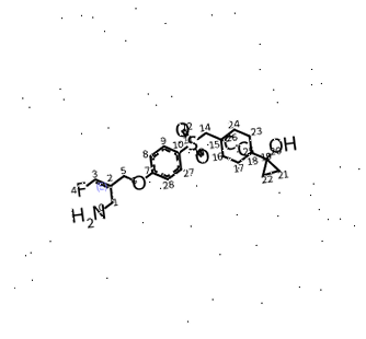 NC/C(=C\F)COc1ccc(S(=O)(=O)CC23CCC(C4(O)CC4)(CC2)CC3)cc1